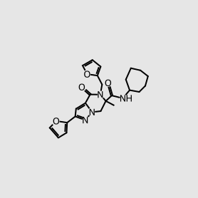 CC1(C(=O)NC2CCCCCC2)Cn2nc(-c3ccco3)cc2C(=O)N1Cc1ccco1